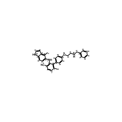 Cc1ncc(C#N)c(Nc2ccc3[nH]ccc3c2C)c1-c1ccc(OCCNCc2cccnc2)cc1